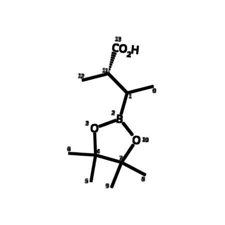 CC(B1OC(C)(C)C(C)(C)O1)[C@H](C)C(=O)O